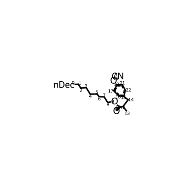 CCCCCCCCCCCCCCCCCCOC(=O)C(C)Cc1ccc(OC#N)cc1